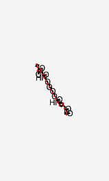 O=C(CCN1C(=O)CC(C2CCC2)C1=O)NCCOCCOCCOCCOCCC(=O)Nc1ccc(CCC(=O)N2CCC2=O)cc1